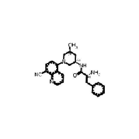 C[C@H]1C[C@@H](NC(=O)[C@H](N)Cc2ccccc2)CN(c2ccc(C#N)c3ncccc23)C1